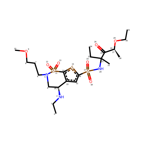 CCN[C@H]1CN(CCCOC)S(=O)(=O)c2sc(S(=O)(=O)NC(C)(CC)C(=O)[C@H](C)OCC)cc21